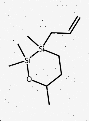 C=CC[Si]1(C)CCC(C)O[Si]1(C)C